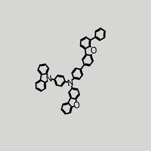 c1ccc(-c2cccc3c2oc2ccc(-c4ccc(N(c5ccc(-n6c7ccccc7c7ccccc76)cc5)c5ccc6oc7ccccc7c6c5)cc4)cc23)cc1